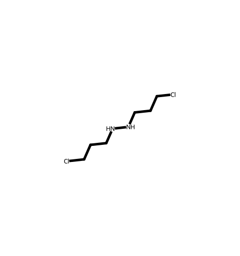 ClCCCNNCCCCl